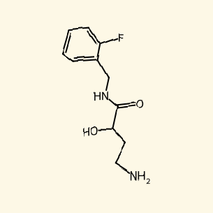 NCCC(O)C(=O)NCc1ccccc1F